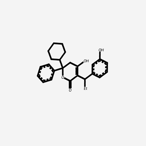 CCC(C1=C(O)CC(c2ccccc2)(C2CCCCC2)OC1=O)c1cccc(O)c1